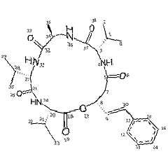 CC(C)[C@@H]1NC(=O)C[C@H](/C=C/c2ccccc2)OC(=O)[C@H](C(C)C)NC(=O)[C@H](C(C)C)NC(=O)[C@@H](C)NC1=O